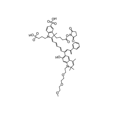 C=C(/C=C(/C=C/C=C/C=C1/N(CCCS(=O)(=O)O)c2ccc(S(=O)(=O)O)cc2C1(C)CCCC(=O)ON1C(=O)CCC1=O)c1cc2c(cc1O)N(CCOCCOCCOC)C(C)(C)C=C2C)c1ccccc1